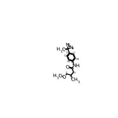 COCC(C)CC(=O)Nc1ccc(C2(C)N=N2)cc1